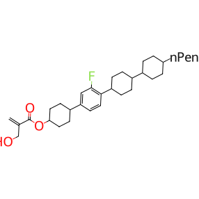 C=C(CO)C(=O)OC1CCC(c2ccc(C3CCC(C4CCC(CCCCC)CC4)CC3)c(F)c2)CC1